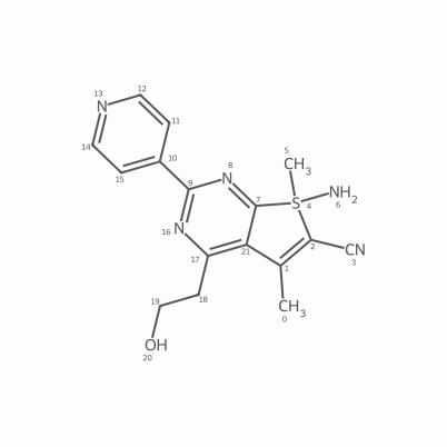 CC1=C(C#N)S(C)(N)c2nc(-c3ccncc3)nc(CCO)c21